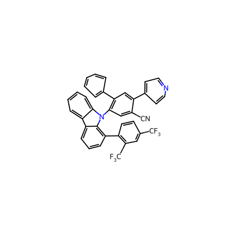 N#Cc1cc(-n2c3ccccc3c3cccc(-c4ccc(C(F)(F)F)cc4C(F)(F)F)c32)c(-c2ccccc2)cc1-c1ccncc1